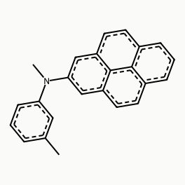 Cc1cccc(N(C)c2cc3ccc4cccc5ccc(c2)c3c45)c1